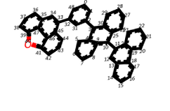 c1cc(-c2c3ccccc3c(-c3cc4ccccc4c4ccccc34)c3ccccc23)cc(-c2cc3cccc4oc5cccc2c5c34)c1